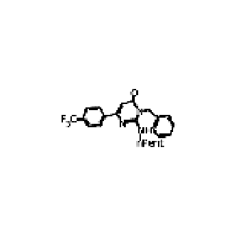 CCCCCNc1nc(-c2ccc(C(F)(F)F)cc2)cc(=O)n1Cc1ccccc1